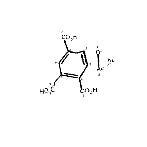 CC(=O)[O-].O=C(O)c1ccc(C(=O)O)c(C(=O)O)c1.[Na+]